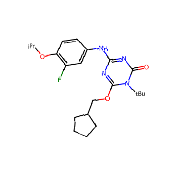 CC(C)Oc1ccc(Nc2nc(OCC3CCCC3)n(C(C)(C)C)c(=O)n2)cc1F